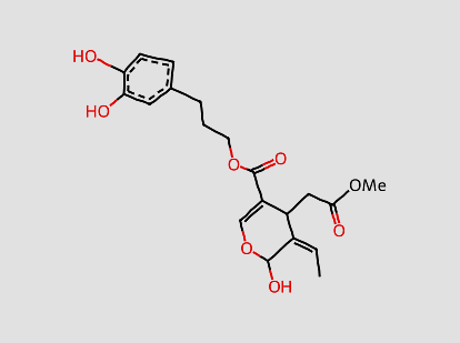 C/C=C1\C(O)OC=C(C(=O)OCCCc2ccc(O)c(O)c2)C1CC(=O)OC